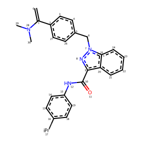 C=C(c1ccc(Cn2nc(C(=O)Nc3ccc(C(C)C)cc3)c3ccccc32)cc1)N(C)C